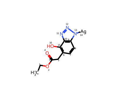 CCOC(=O)Cc1ccc2c(nn[n]2[Ag])c1O